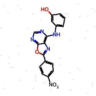 O=[N+]([O-])c1ccc(-c2nc3c(Nc4cccc(O)c4)ncnc3o2)cc1